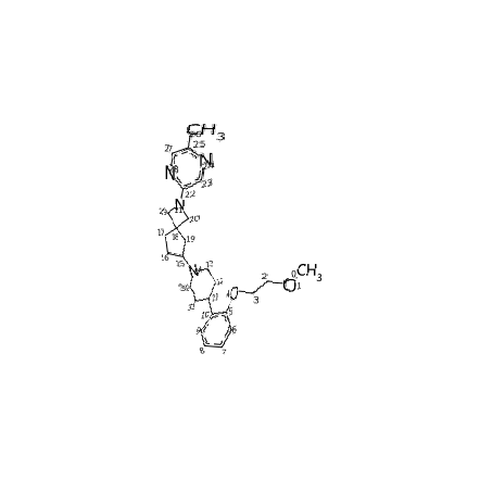 COCCOc1ccccc1C1CCN(C2CCC3(C2)CN(c2cnc(C)cn2)C3)CC1